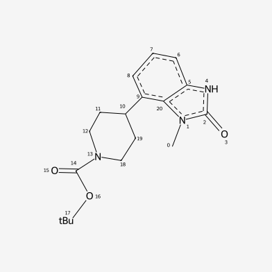 Cn1c(=O)[nH]c2cccc(C3CCN(C(=O)OC(C)(C)C)CC3)c21